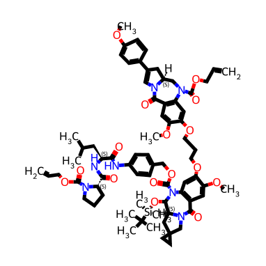 C=CCOC(=O)N1C[C@@H]2CC(c3ccc(OC)cc3)=CN2C(=O)c2cc(OC)c(OCCCOc3cc4c(cc3OC)C(=O)N3CC5(CC5)C[C@H]3C(O[Si](C)(C)C(C)(C)C)N4C(=O)OCc3ccc(NC(=O)[C@H](CC(C)C)NC(=O)[C@@H]4CCCN4C(=O)OCC=C)cc3)cc21